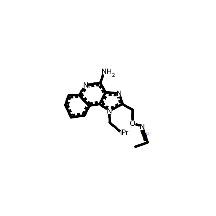 C/C=N\OCc1nc2c(N)nc3ccccc3c2n1CC(C)C